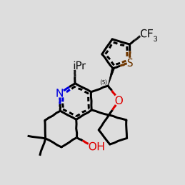 CC(C)c1nc2c(c3c1[C@@H](c1ccc(C(F)(F)F)s1)OC31CCCC1)C(O)CC(C)(C)C2